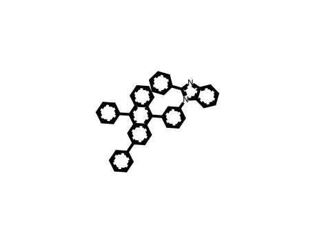 c1ccc(-c2ccc3c(-c4cccc(-n5c(-c6ccccc6)nc6ccccc65)c4)c4ccccc4c(-c4ccccc4)c3c2)cc1